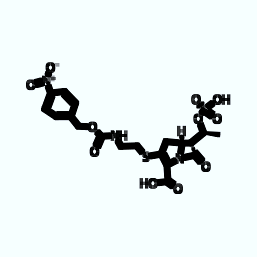 C[C@H](OS(=O)(=O)O)[C@@H]1C(=O)N2C(C(=O)O)=C(SCCNC(=O)OCc3ccc([N+](=O)[O-])cc3)C[C@H]12